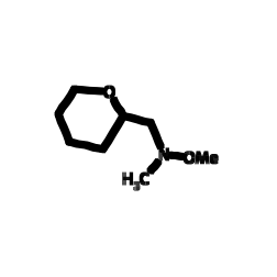 CON(C)CC1CCCCO1